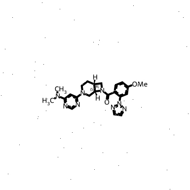 COc1ccc(C(=O)N2C[C@H]3CCN(c4cc(N(C)C)ncn4)C[C@H]32)c(-n2nccn2)c1